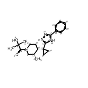 C[C@@H]1CN(C(=O)C(C)(O)C(F)(F)F)CC[C@@H]1C1(c2nnc(-c3ccccc3)[nH]2)CC1